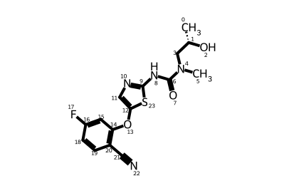 C[C@H](O)CN(C)C(=O)Nc1ncc(Oc2cc(F)ccc2C#N)s1